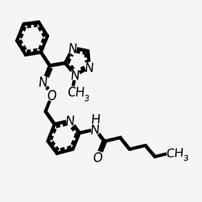 CCCCCC(=O)Nc1cccc(CON=C(c2ccccc2)c2ncnn2C)n1